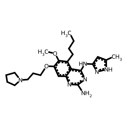 CCCCc1c(OC)c(OCCCN2CCCC2)cc2nc(N)nc(Nc3cc(C)[nH]n3)c12